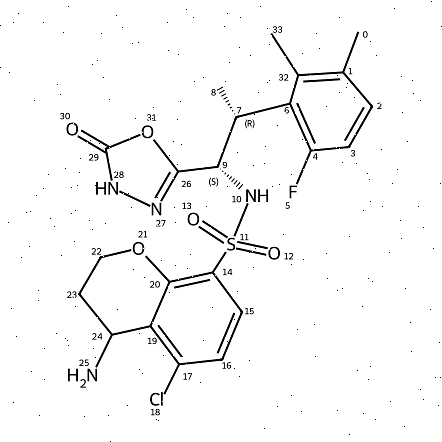 Cc1ccc(F)c([C@@H](C)[C@H](NS(=O)(=O)c2ccc(Cl)c3c2OCCC3N)c2n[nH]c(=O)o2)c1C